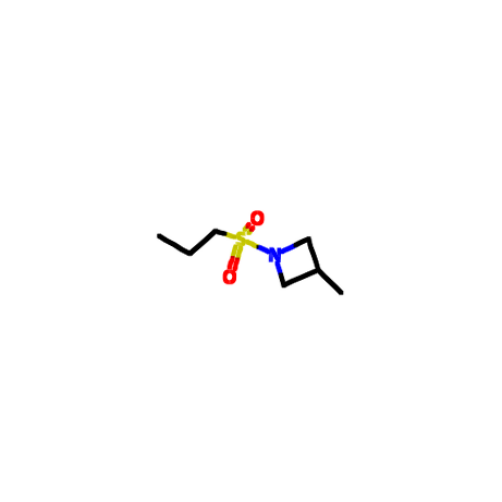 CCCS(=O)(=O)N1CC(C)C1